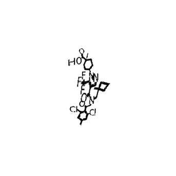 Cc1cc(Cl)c(C(=O)CN(CC2(C)CCC2)C(=O)c2cnn([C@H]3CC[C@](C)(C(=O)O)CC3)c2C(F)(F)F)c(Cl)c1